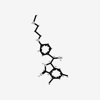 COCCCOc1ccc(C(O)C2OC(=O)c3c(C)cc(C)cc32)cc1